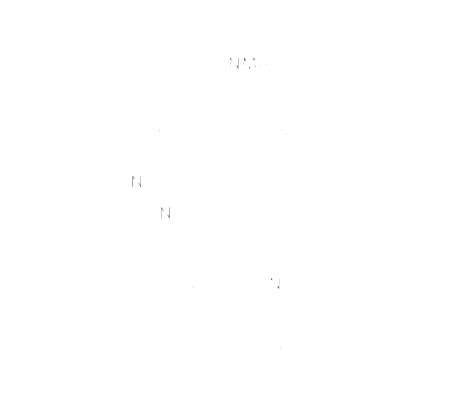 CNC(=O)c1cnn2ccc(N3CCCC3)cc12